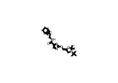 CC(C)(C)N1C/C(=C/Oc2ncc(C(=O)NCCC3C4CCC3CC4)s2)OC1(C)C